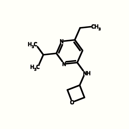 CCc1cc(NC2COC2)nc(C(C)C)n1